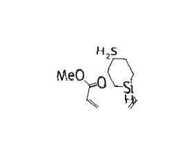 C=CC(=O)OC.C=C[SiH]1CCCCC1.S